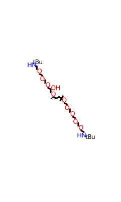 C[C@H](CCC(C)(C)OCCOCCOCCOCCOCCNC(C)(C)C)OCC(O)COCCOCCOCCNC(C)(C)C